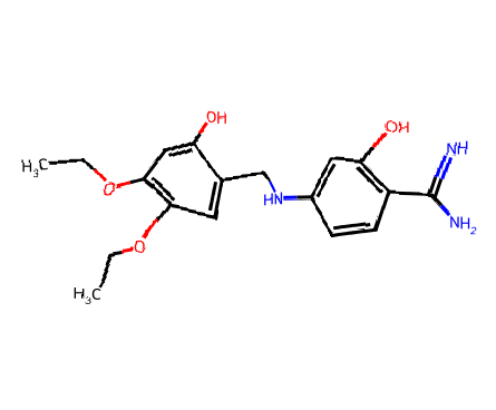 CCOc1cc(O)c(CNc2ccc(C(=N)N)c(O)c2)cc1OCC